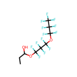 CCC(O)OC(F)(F)C(F)(F)C(F)(F)OC(F)(F)C(F)(F)C(F)(F)F